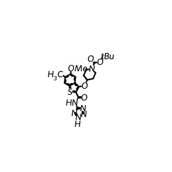 COc1cc2c(OC3CCN(C(=O)OC(C)(C)C)CC3)c(C(=O)Nc3nn[nH]n3)sc2cc1C